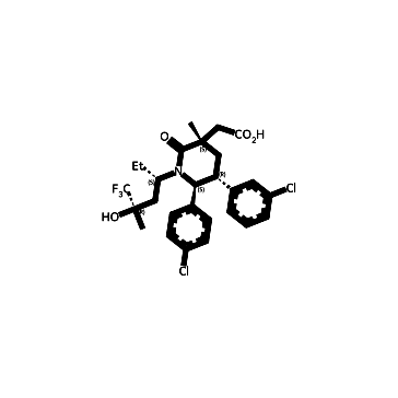 CC[C@@H](C[C@@](C)(O)C(F)(F)F)N1C(=O)[C@](C)(CC(=O)O)C[C@H](c2cccc(Cl)c2)[C@H]1c1ccc(Cl)cc1